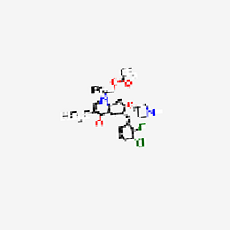 CC(C)[C@@H](COC(=O)C(F)(F)F)n1cc(C(=O)O)c(=O)c2cc(Cc3cccc(Cl)c3F)c(O[C@H]3CCN(C)C3)cc21